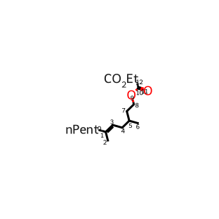 CCCCCC(C)=CCC(C)CCOC(=O)C(=O)OCC